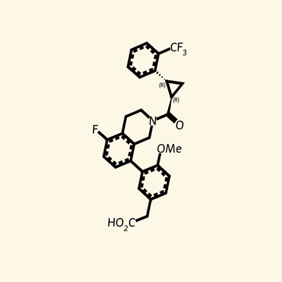 COc1ccc(CC(=O)O)cc1-c1ccc(F)c2c1CN(C(=O)[C@@H]1C[C@H]1c1ccccc1C(F)(F)F)CC2